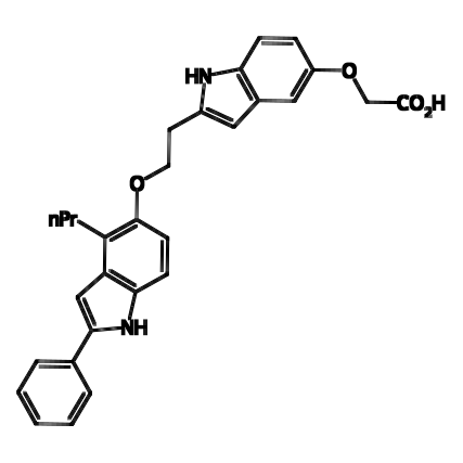 CCCc1c(OCCc2cc3cc(OCC(=O)O)ccc3[nH]2)ccc2[nH]c(-c3ccccc3)cc12